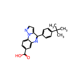 CC(C)(C)c1ccc(-c2nc3cc(C(=O)O)ccc3n3nccc23)cc1